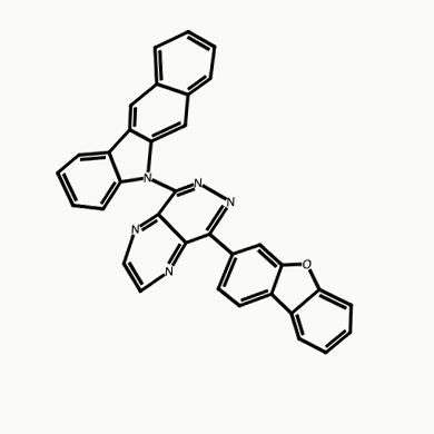 c1ccc2cc3c(cc2c1)c1ccccc1n3-c1nnc(-c2ccc3c(c2)oc2ccccc23)c2nccnc12